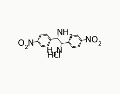 Cl.N[C@@H](c1ccc([N+](=O)[O-])cc1)[C@@H](N)c1ccc([N+](=O)[O-])cc1